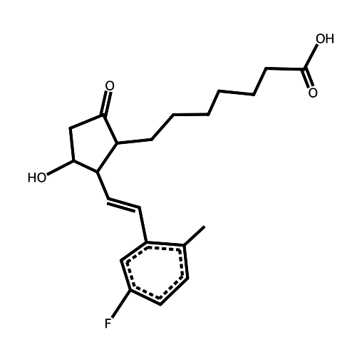 Cc1ccc(F)cc1C=CC1C(O)CC(=O)C1CCCCCCC(=O)O